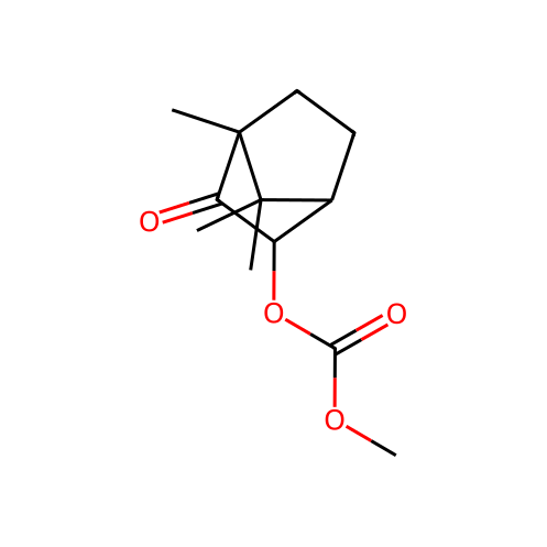 COC(=O)OC1C(=O)C2(C)CCC1C2(C)C